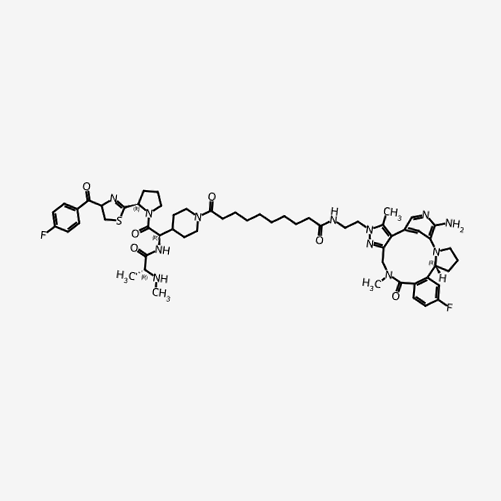 CN[C@H](C)C(=O)N[C@@H](C(=O)N1CCC[C@@H]1C1=NC(C(=O)c2ccc(F)cc2)CS1)C1CCN(C(=O)CCCCCCCCC(=O)NCCn2nc3c(c2C)-c2cnc(N)c(c2)N2CCC[C@@H]2c2cc(F)ccc2C(=O)N(C)C3)CC1